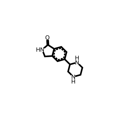 O=C1NCc2cc(C3CNCCN3)ccc21